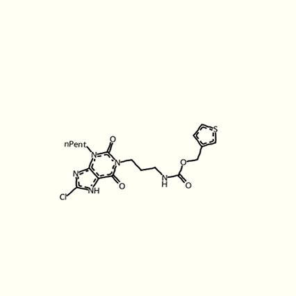 CCCCCn1c(=O)n(CCCNC(=O)OCc2ccsc2)c(=O)c2[nH]c(Cl)nc21